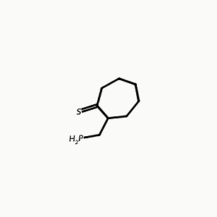 PCC1CCCCCC1=S